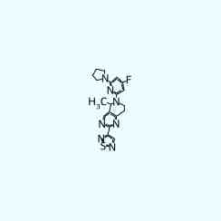 CC1c2cnc(-c3cnsn3)nc2CCN1c1cc(F)cc(N2CCCC2)n1